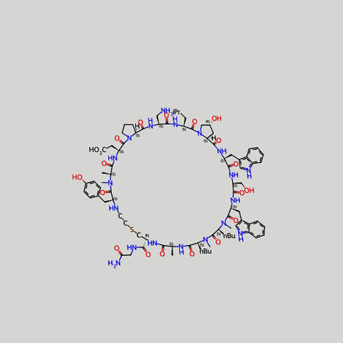 CCCC[C@H]1C(=O)N(C)[C@@H](CCCC)C(=O)N[C@@H](C)C(=O)N[C@H](C(=O)NCC(N)=O)CSCCN[C@@H](Cc2ccc(O)cc2)C(=O)N(C)[C@@H](C)C(=O)N[C@@H](CC(=O)O)C(=O)N2CCC[C@H]2C(=O)N[C@@H](CN)C(=O)N[C@@H](CC(C)C)C(=O)N2C[C@H](O)C[C@H]2C(=O)N[C@@H](Cc2c[nH]c3ccccc23)C(=O)N[C@@H](CO)C(=O)N[C@@H](Cc2c[nH]c3ccccc23)C(=O)N1C